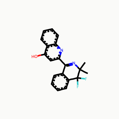 CC1(C)N=C(c2cc(O)c3ccccc3n2)c2ccccc2C1(F)F